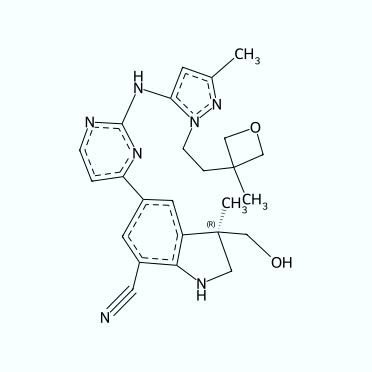 Cc1cc(Nc2nccc(-c3cc(C#N)c4c(c3)[C@@](C)(CO)CN4)n2)n(CCC2(C)COC2)n1